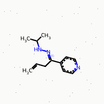 C=CC/C(=N\NC(C)C)c1ccncc1